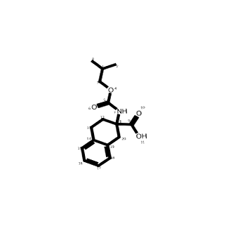 CC(C)COC(=O)NC1(C(=O)O)CCc2ccccc2C1